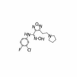 ON=C(Nc1ccc(F)c(Cl)c1)c1nonc1CCN1CCCC1